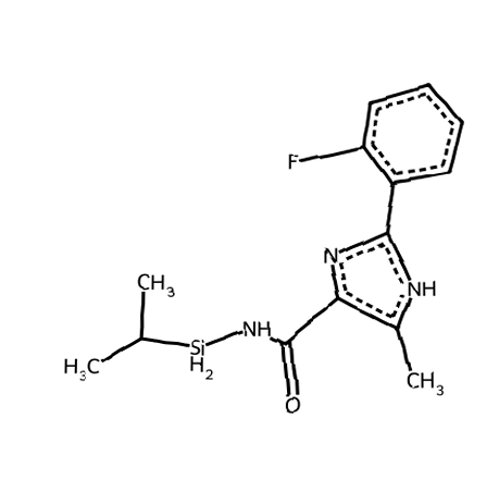 Cc1[nH]c(-c2ccccc2F)nc1C(=O)N[SiH2]C(C)C